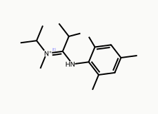 Cc1cc(C)c(N/C(C(C)C)=[N+](\C)C(C)C)c(C)c1